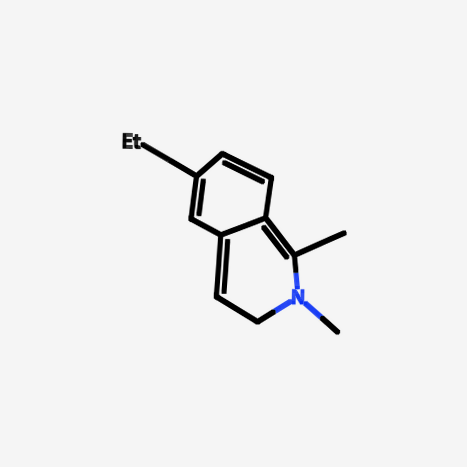 CCc1ccc2c(c1)=CCN(C)C=2C